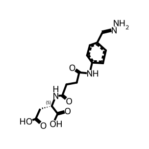 NN=Cc1ccc(NC(=O)CCC(=O)N[C@@H](CC(=O)O)C(=O)O)cc1